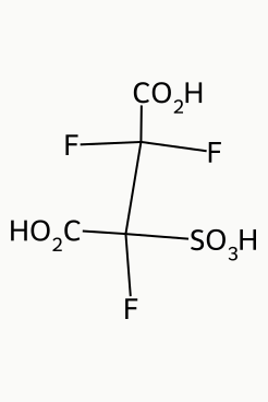 O=C(O)C(F)(F)C(F)(C(=O)O)S(=O)(=O)O